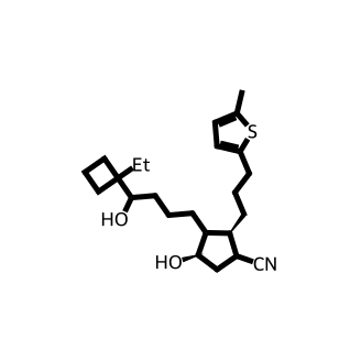 CCC1(C(O)CCCC2[C@@H](CCCc3ccc(C)s3)C(C#N)C[C@H]2O)CCC1